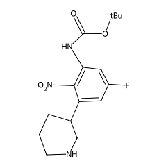 CC(C)(C)OC(=O)Nc1cc(F)cc(C2CCCNC2)c1[N+](=O)[O-]